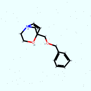 C1=CC2(COCc3ccccc3)CN1CCO2